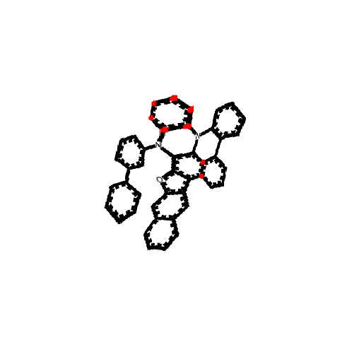 c1ccc(-c2cccc(N(c3ccccc3)c3c(N(c4ccccc4)c4ccccc4-c4ccccc4)ccc4c3oc3cc5ccccc5cc34)c2)cc1